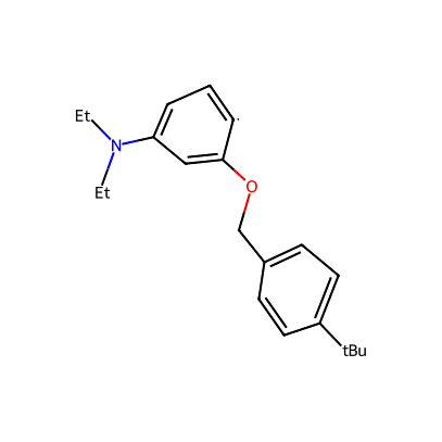 CCN(CC)c1cc[c]c(OCc2ccc(C(C)(C)C)cc2)c1